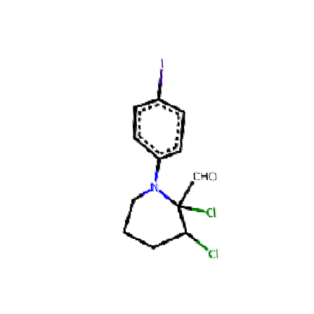 O=CC1(Cl)C(Cl)CCCN1c1ccc(I)cc1